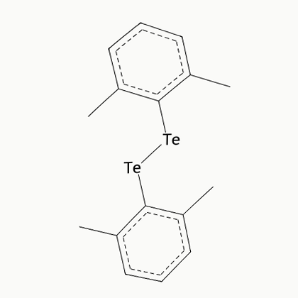 Cc1cccc(C)c1[Te][Te]c1c(C)cccc1C